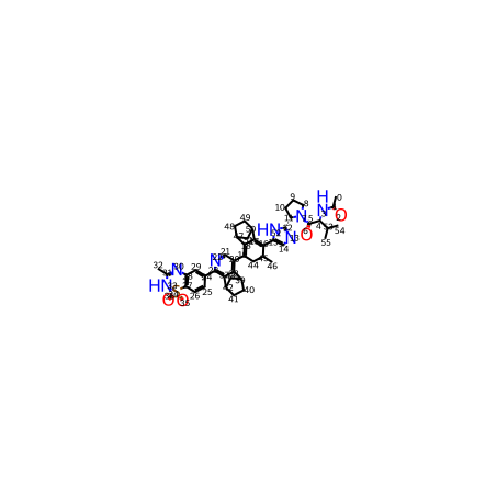 CC(=O)N[C@H](C(=O)N1CCC[C@H]1c1ncc(C2=C3C(=C(c4cnc(-c5ccc6c(c5)N=C(C)NS6(=O)=O)c5c4C4CCC5C4)CC2C)C2CCC3C2)[nH]1)C(C)C